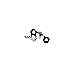 COc1ccnc(NC(=O)Oc2ccccc2)c1OC